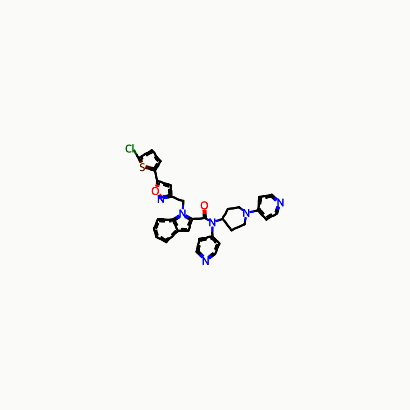 O=C(c1cc2ccccc2n1Cc1cc(-c2ccc(Cl)s2)on1)N(c1ccncc1)C1CCN(c2ccncc2)CC1